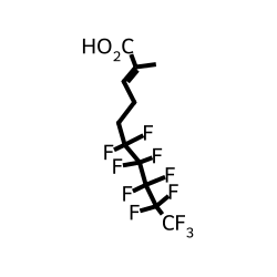 CC(=CCCC(F)(F)C(F)(F)C(F)(F)C(F)(F)C(F)(F)F)C(=O)O